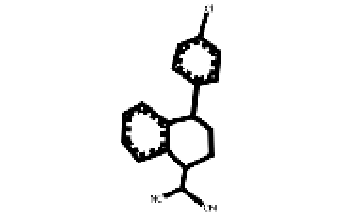 N#CC(C#N)C1CCC(c2ccc(Cl)cc2)c2ccccc21